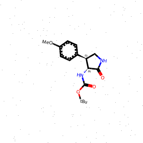 COc1ccc([C@H]2CNC(=O)[C@@H]2NC(=O)OC(C)(C)C)cc1